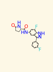 O=C1CC[C@H](C(=O)Nc2cc(F)c3[nH]nc(-c4cccc(F)c4)c3c2)N1